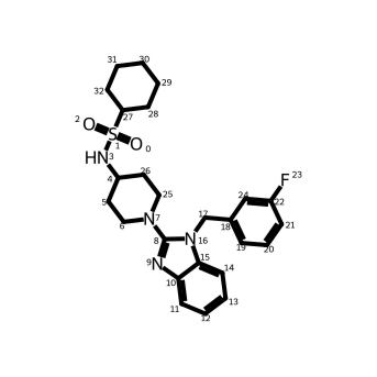 O=S(=O)(NC1CCN(c2nc3ccccc3n2Cc2cccc(F)c2)CC1)C1CCCCC1